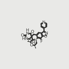 C[C@@H]1CN2c3c(cc4c(-c5ccncc5)noc4c3F)CC3(C(=O)NC(=O)NC3=O)[C@H]2[C@H](C)O1